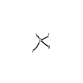 [I][Tl]([I])([I])[I]